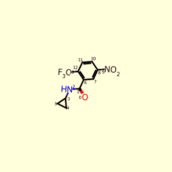 O=C(NC1CC1)c1cc([N+](=O)[O-])ccc1C(F)(F)F